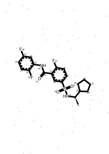 C[C@@H](NS(=O)(=O)c1ccc(F)c(C(=O)Nc2cc(F)ccc2F)c1)C1CCCC1